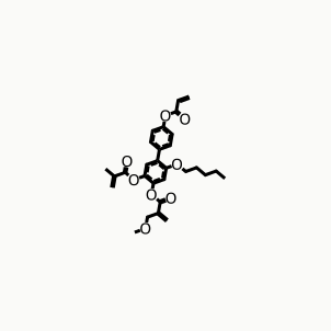 C=CC(=O)Oc1ccc(-c2cc(OC(=O)C(=C)C)c(OC(=O)C(=C)COC)cc2OCCCCC)cc1